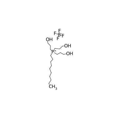 CCCCCCCCCC[P+](CCCO)(CCCO)CCCO.F[B-](F)(F)F